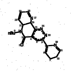 CCCCN1C(=O)c2cc(C3=CCCC=N3)nnc2C2N=CC=CC21